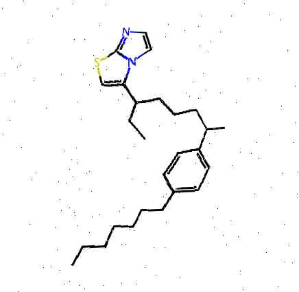 CCCCCCCc1ccc(C(C)CCCC(CC)c2csc3nccn23)cc1